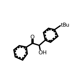 CC(C)(C)c1ccc(C(O)C(=O)c2ccccc2)cc1